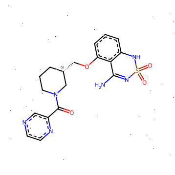 NC1=NS(=O)(=O)Nc2cccc(OC[C@H]3CCCN(C(=O)c4cnccn4)C3)c21